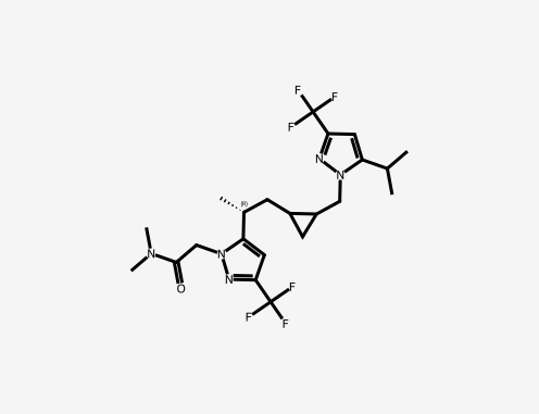 CC(C)c1cc(C(F)(F)F)nn1CC1CC1C[C@@H](C)c1cc(C(F)(F)F)nn1CC(=O)N(C)C